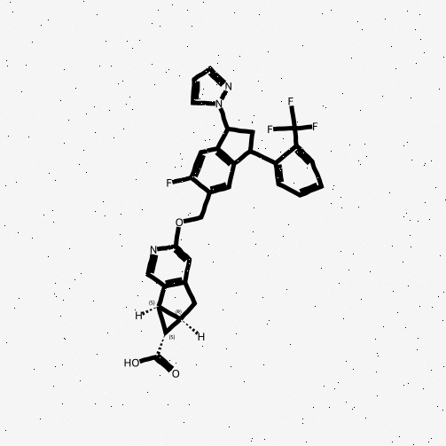 O=C(O)[C@H]1[C@@H]2Cc3cc(OCc4cc5c(cc4F)C(n4cccn4)CC5c4ccccc4C(F)(F)F)ncc3[C@@H]21